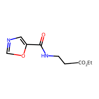 CCOC(=O)CCNC(=O)c1cnco1